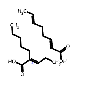 CC/C=C(\CCCCC)C(=O)O.CC=CCCC=CC(=O)O